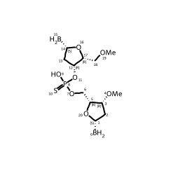 B[C@H]1C[C@@H](OC)[C@@H](COP(O)(=S)O[C@@H]2C[C@H](B)O[C@@H]2COC)O1